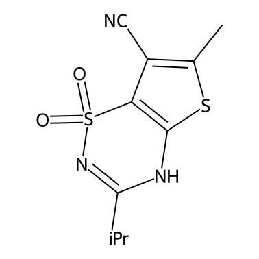 Cc1sc2c(c1C#N)S(=O)(=O)N=C(C(C)C)N2